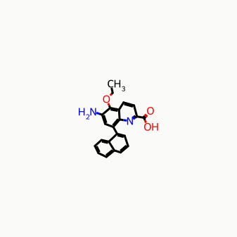 CCOc1c(N)cc(-c2cccc3ccccc23)c2nc(C(=O)O)ccc12